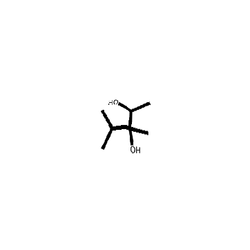 CC(C)C(C)(O)C(C)O